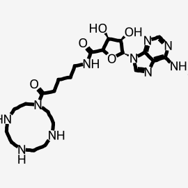 Nc1ncnc2c1ncn2[C@@H]1OC(C(=O)NCCCCC(=O)N2CCNCCNCCNCC2)[C@@H](O)[C@H]1O